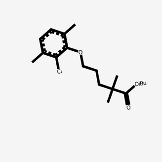 Cc1ccc(C)c(OCCCC(C)(C)C(=O)OCC(C)C)c1Cl